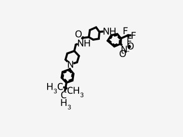 CC(C)(C)c1ccc(N2CCC(CNC(=O)C3CCC(Nc4ccc([N+](=O)[O-])c(C(F)(F)F)c4)CC3)CC2)cc1